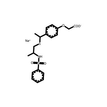 CC(CSC(C)c1ccc(OCC(=O)[O-])cc1)NS(=O)(=O)c1ccccc1.[Na+]